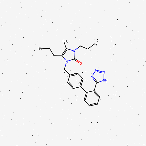 Cc1c(CCC(C)C)n(Cc2ccc(-c3ccccc3-c3nnn[nH]3)cc2)c(=O)n1CCC(C)C